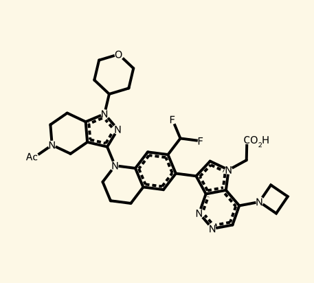 CC(=O)N1CCc2c(c(N3CCCc4cc(-c5cn(CC(=O)O)c6c(N7CCC7)cnnc56)c(C(F)F)cc43)nn2C2CCOCC2)C1